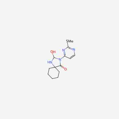 CSc1nccc(N2C(=O)C3(CCCCC3)NC2O)n1